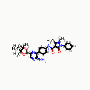 Cc1c(C(=O)Nc2ccc(-c3nc(B4OC(C)(C)C(C)(C)O4)cnc3N)cc2)c(=O)n(-c2ccccc2)n1C